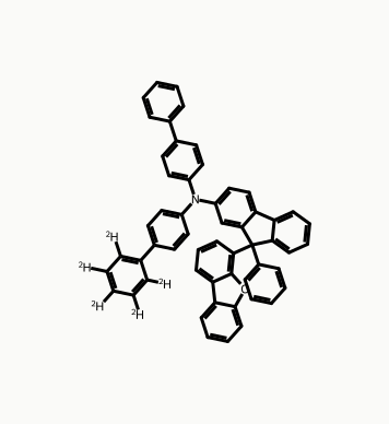 [2H]c1c([2H])c([2H])c(-c2ccc(N(c3ccc(-c4ccccc4)cc3)c3ccc4c(c3)C(c3ccccc3)(c3cccc5c3oc3ccccc35)c3ccccc3-4)cc2)c([2H])c1[2H]